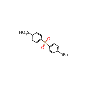 CCC(C)c1ccc(S(=O)(=O)c2ccc(S(=O)(=O)O)cc2)cc1